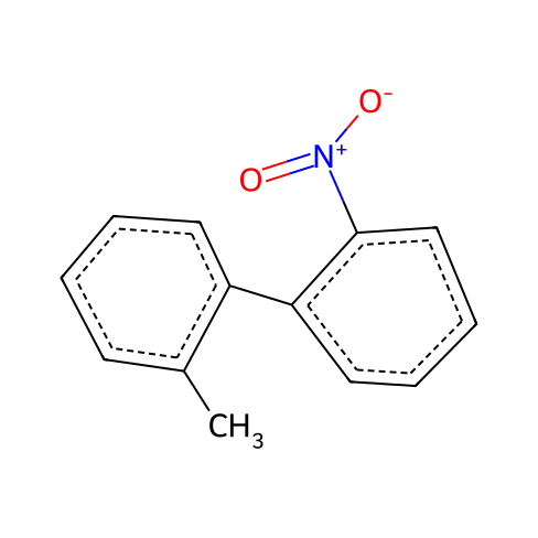 Cc1ccccc1-c1ccccc1[N+](=O)[O-]